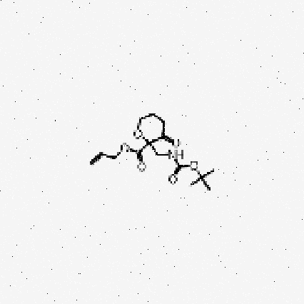 C=CCOC(=O)C1(CNC(=O)OC(C)(C)C)OCCCC1=O